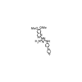 COc1cc2cnc(-n3nc(Nc4ccc(N5CCN(C)CC5)cc4)nc3N)nc2cc1OC